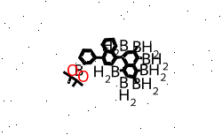 Bc1c(B)c(B)c2c(-c3ccc(-c4cccc(B5OC(C)(C)C(C)(C)O5)c4)c4ccccc34)c(B)c(B)c(B)c2c1B